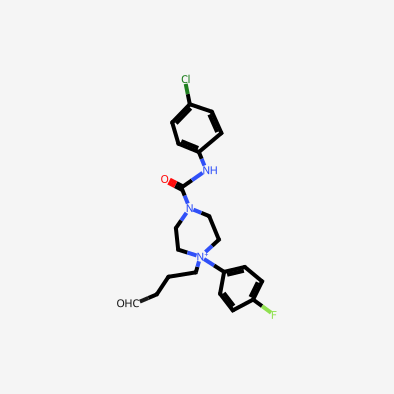 O=CCCC[N+]1(c2ccc(F)cc2)CCN(C(=O)Nc2ccc(Cl)cc2)CC1